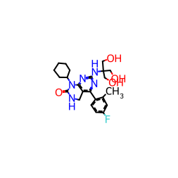 Cc1cc(F)ccc1-c1nc(NC(CO)(CO)CO)nc2c1CNC(=O)N2C1CCCCC1